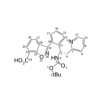 CC(C)(C)OC(=O)N[C@@H](Cc1ccccn1)c1ccccc1-c1noc2c(C(=O)O)cccc12